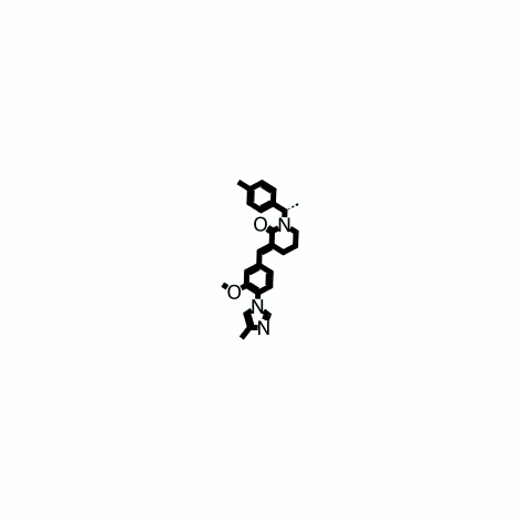 COc1cc(/C=C2\CCCN([C@@H](C)c3ccc(C)cc3)C2=O)ccc1-n1cnc(C)c1